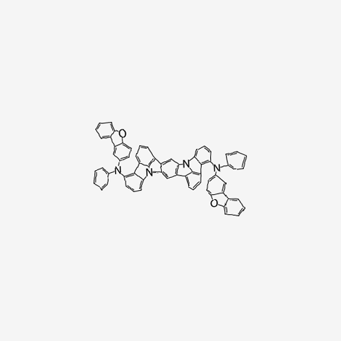 c1ccc(N(c2ccc3oc4ccccc4c3c2)c2cccc3c2c2cccc4c5cc6c(cc5n3c42)c2cccc3c4c(N(c5ccccc5)c5ccc7oc8ccccc8c7c5)cccc4n6c23)cc1